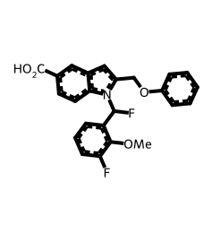 COc1c(F)cccc1C(F)n1c(COc2ccccc2)cc2cc(C(=O)O)ccc21